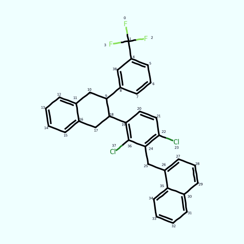 FC(F)(F)c1cccc(C2[C]c3ccccc3CC2c2ccc(Cl)c(Cc3cccc4ccccc34)c2Cl)c1